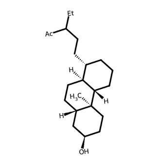 CCC(CC[C@@H]1CCC[C@H]2[C@H]1CC[C@H]1C[C@H](O)CC[C@@]12C)C(C)=O